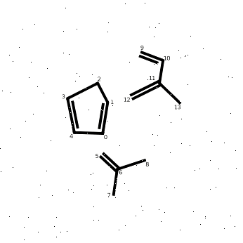 C1=CCC=C1.C=C(C)C.C=CC(=C)C